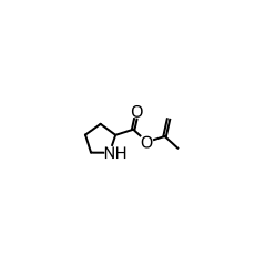 C=C(C)OC(=O)C1CCCN1